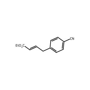 CCOC(=O)C=CCc1ccc(C#N)cc1